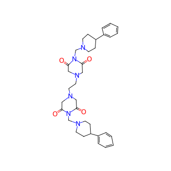 O=C1CN(CCN2CC(=O)N(CN3CCC(c4ccccc4)CC3)C(=O)C2)CC(=O)N1CN1CCC(c2ccccc2)CC1